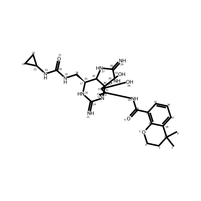 CC1(C)CCOc2c(C(=O)NC3CN4C(=N)N[C@@H](CNC(=O)NC5CC5)C5NC(=N)N[C@]54C3(O)O)cccc21